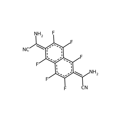 N#C/C(N)=c1/c(F)c(F)c2c(F)/c(=C(\N)C#N)c(F)c(F)c2c1F